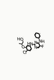 CC(CO)Oc1cc(Nc2ncc(F)c(Nc3c[c]ccc3)n2)ccc1Cl